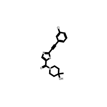 CC1(O)CCN(C(=O)c2cnc(C#Cc3cccc(Cl)c3)s2)CC1